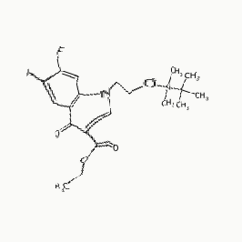 CCOC(=O)c1cn(CCO[Si](C)(C)C(C)(C)C)c2cc(F)c(I)cc2c1=O